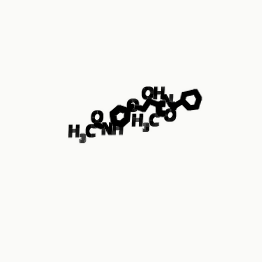 CC(=O)Nc1ccc(OCC(O)c2nc(C3CCCCC3)oc2C)cc1